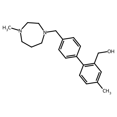 Cc1ccc(-c2ccc(CN3CCCN(C)CC3)cc2)c(CO)c1